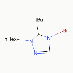 CCCCCCN1N=CN(Br)C1C(C)(C)C